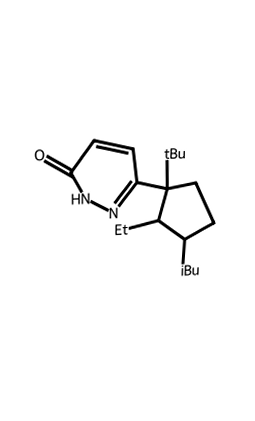 CCC(C)C1CCC(c2ccc(=O)[nH]n2)(C(C)(C)C)C1CC